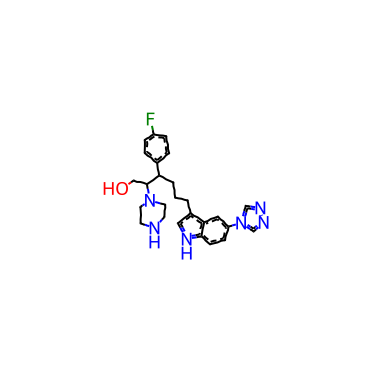 OCC(C(CCCc1c[nH]c2ccc(-n3cnnc3)cc12)c1ccc(F)cc1)N1CCNCC1